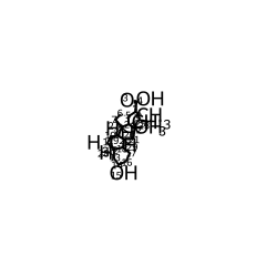 C[C@H](C(=O)O)[C@H]1CC[C@H]2[C@@H]3CC[C@@H]4C[C@H](O)CC[C@]4(C)[C@H]3C[C@H](O)[C@]12C